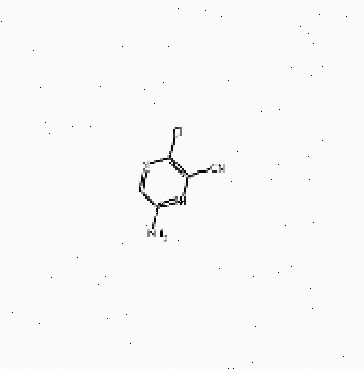 N#Cc1nc(N)cnc1Cl